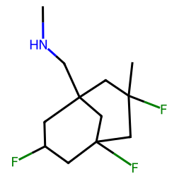 CNCC12CC(F)CC(F)(CC(C)(F)C1)C2